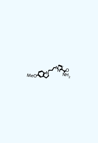 COc1ccc2c(c1)CCN2CCCn1c[c]c(C(N)=O)n1